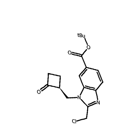 CC(C)(C)OC(=O)c1ccc2nc(CCl)n(C[C@@H]3CCC3=O)c2c1